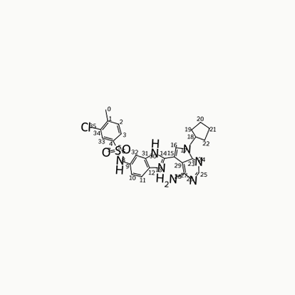 Cc1ccc(S(=O)(=O)Nc2ccc3nc(-c4cn(C5CCCC5)c5ncnc(N)c45)[nH]c3c2)cc1Cl